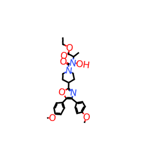 CCOC(=O)C(C)N(O)C(=O)N1CCC(c2nc(-c3ccc(OC)cc3)c(-c3ccc(OC)cc3)o2)CC1